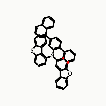 c1ccc(-c2ccc(-c3cccc4ccccc34)cc2N(c2ccc3oc4ccccc4c3c2)c2cccc3sc4ccccc4c23)cc1